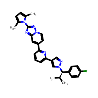 Cc1ccc(C)n1-c1nc2cc(-c3cccc(-c4cnn([C@@H](c5ccc(F)cc5)C(C)C)c4)n3)ccn2n1